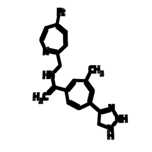 C=C(NCC1=NC=CC(CC)=C=C1)C1=CC(C)=C=C(C2=NNNC2)C=C1